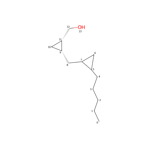 CCCCCC1CC1C[C@@H]1C[C@@H]1CO